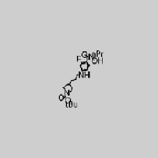 CCCN(O)C(=O)c1ccc(NCCCC2CCN(C(=O)OC(C)(C)C)CC2)cc1F